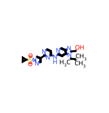 CC(C)C(C)n1c(CO)nc2cnc(Nc3ccnc(-c4cnn(S(=O)(=O)C5CC5)c4)n3)cc21